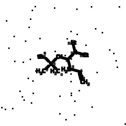 C=C[SiH2]C(O[Si](C)(C)C(C)(C)C)N(CC)CC